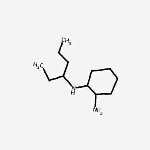 CCCC(CC)NC1CCCCC1N